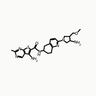 COCC1CN(c2ccc3c(n2)CCC(NC(=O)c2sc4nc(C)ncc4c2N)C3)CC1N